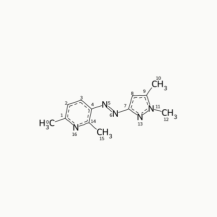 Cc1ccc(N=Nc2cc(C)n(C)n2)c(C)n1